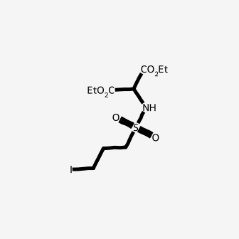 CCOC(=O)C(NS(=O)(=O)CCCI)C(=O)OCC